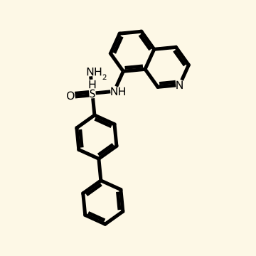 N[SH](=O)(Nc1cccc2ccncc12)c1ccc(-c2ccccc2)cc1